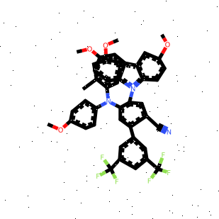 COc1ccc(N(c2ccc(OC)cc2C)c2cc(-c3cc(C(F)(F)F)cc(C(F)(F)F)c3)c(C#N)cc2-n2c3ccc(OC)cc3c3cc(OC)ccc32)cc1